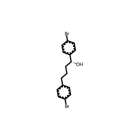 O[C@H](CCCc1ccc(Br)cc1)c1ccc(Br)cc1